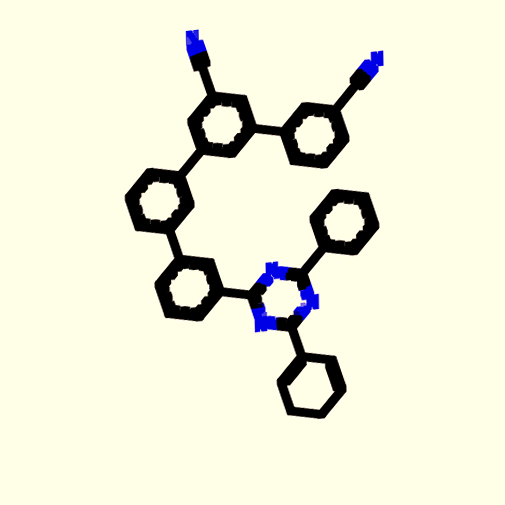 N#Cc1cccc(-c2cc(C#N)cc(-c3cccc(-c4cccc(-c5nc(C6=CCCC=C6)nc(-c6ccccc6)n5)c4)c3)c2)c1